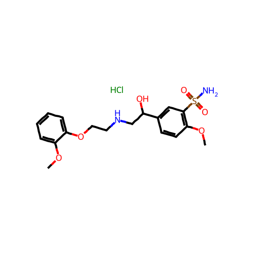 COc1ccccc1OCCNCC(O)c1ccc(OC)c(S(N)(=O)=O)c1.Cl